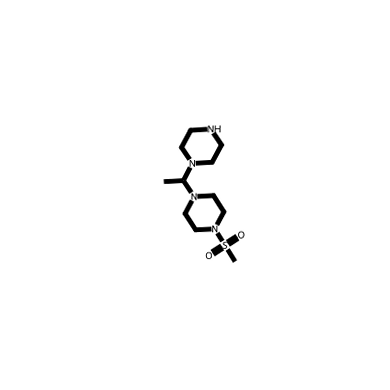 CC(N1CCNCC1)N1CCN(S(C)(=O)=O)CC1